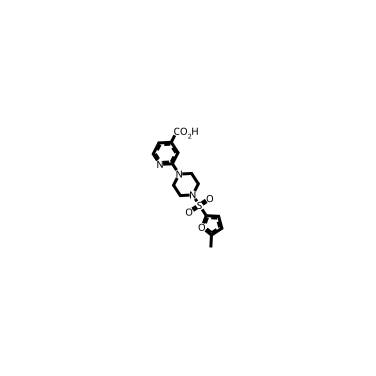 Cc1ccc(S(=O)(=O)N2CCN(c3cc(C(=O)O)ccn3)CC2)o1